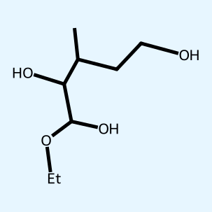 CCOC(O)C(O)C(C)CCO